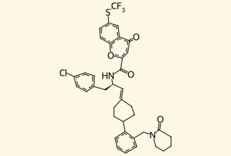 O=C(N[C@@H](C=C1CCC(c2ccccc2CN2CCCCC2=O)CC1)Cc1ccc(Cl)cc1)c1cc(=O)c2cc(SC(F)(F)F)ccc2o1